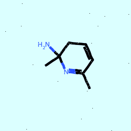 CC1=NC(C)(N)CC=C1